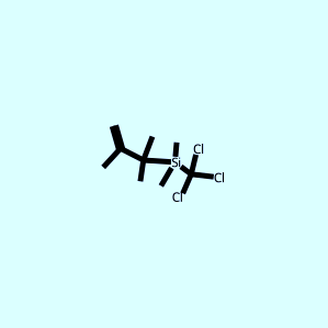 C=C(C)C(C)(C)[Si](C)(C)C(Cl)(Cl)Cl